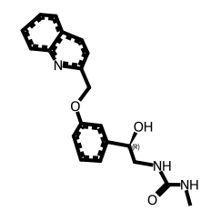 CNC(=O)NC[C@H](O)c1cccc(OCc2ccc3ccccc3n2)c1